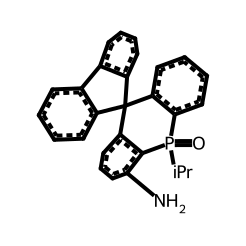 CC(C)P1(=O)c2ccccc2C2(c3ccccc3-c3ccccc32)c2cccc(N)c21